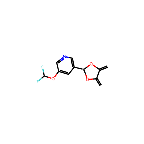 C=C1OB(c2cncc(OC(F)F)c2)OC1=C